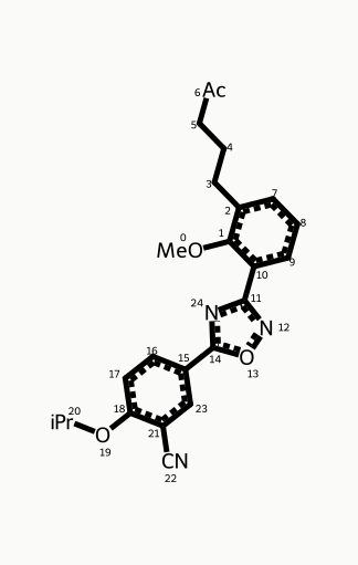 COc1c(CCCC(C)=O)cccc1-c1noc(-c2ccc(OC(C)C)c(C#N)c2)n1